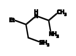 CCC(C[SiH3])NC(C)N